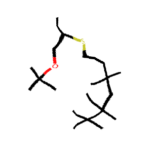 CC(COC(C)(C)C)SCCC(C)(C)CC(C)(C)C(C)(C)C